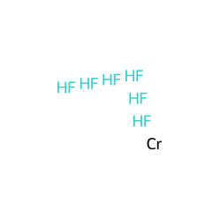 F.F.F.F.F.F.[Cr]